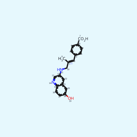 C/C(=C\c1ccc(C(=O)O)cc1)CNc1cnc2ccc(O)cc2c1